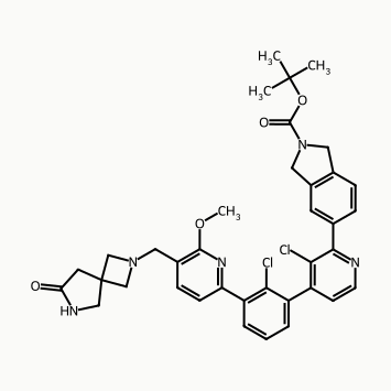 COc1nc(-c2cccc(-c3ccnc(-c4ccc5c(c4)CN(C(=O)OC(C)(C)C)C5)c3Cl)c2Cl)ccc1CN1CC2(CNC(=O)C2)C1